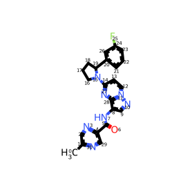 Cc1cnc(C(=O)Nc2cnn3ccc(N4CCCC4c4cccc(F)c4)nc23)cn1